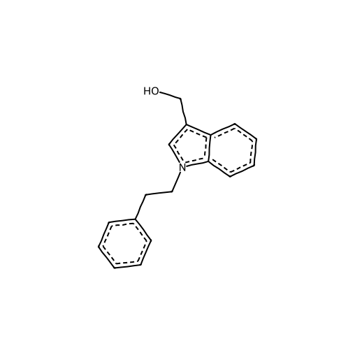 OCc1cn(CCc2ccccc2)c2ccccc12